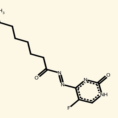 CCCCCCCC(=O)/N=N/c1nc(=O)[nH]cc1F